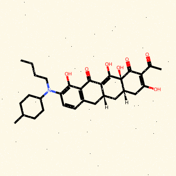 CCCCN(c1ccc2c(c1O)C(=O)C1=C(O)[C@]3(O)C(=O)C(C(C)=O)=C(O)C[C@@H]3C[C@@H]1C2)C1CCC(C)CC1